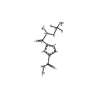 CCNC(=O)c1csc(C(=O)N(CC)CC(C)(C)O)n1